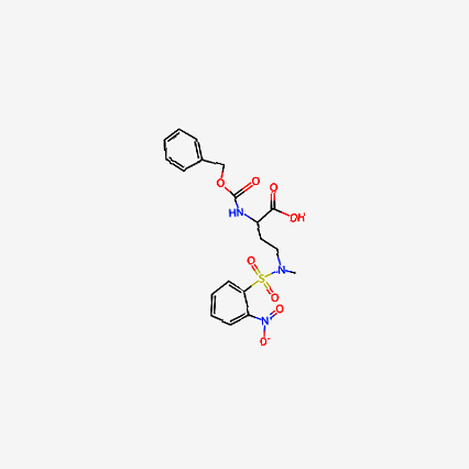 CN(CCC(NC(=O)OCc1ccccc1)C(=O)O)S(=O)(=O)c1ccccc1[N+](=O)[O-]